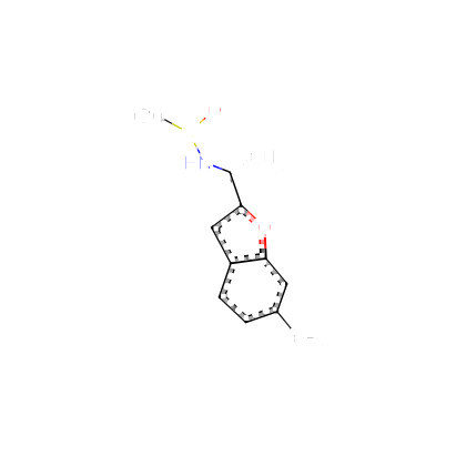 C[C@@H](N[S+]([O-])C(C)(C)C)c1cc2ccc(C(F)(F)F)cc2o1